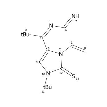 C=Cn1c(/C(=N\C=N)C(C)(C)C)cn(C(C)(C)C)c1=S